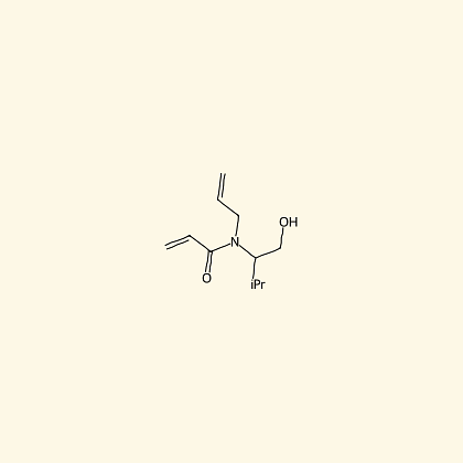 C=CCN(C(=O)C=C)C(CO)C(C)C